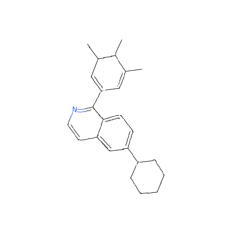 CC1=CC(c2nccc3cc(C4CCCCC4)ccc23)=CC(C)C1C